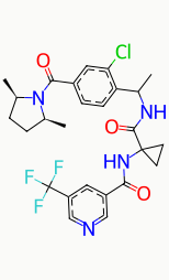 CC(NC(=O)C1(NC(=O)c2cncc(C(F)(F)F)c2)CC1)c1ccc(C(=O)N2[C@H](C)CC[C@@H]2C)cc1Cl